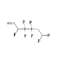 C=CC(F)C(F)(F)C(F)(F)CC(F)F